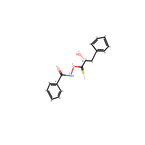 O=C(NOC(=S)[C@H](O)Cc1ccccc1)c1ccccc1